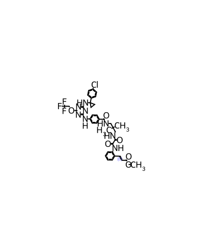 COC(=O)/C=C/c1ccccc1NC(=O)C(=O)NCC(C)(C)CNC(=O)c1ccc(Nc2nc(NC3(c4ccc(Cl)cc4)CC3)nc(OCC(F)(F)F)n2)cc1